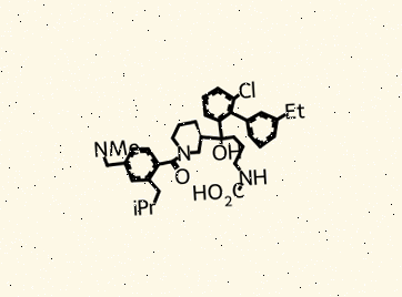 CCc1cccc(-c2c(Cl)cccc2[C@](O)(CCCNC(=O)O)[C@@H]2CCCN(C(=O)c3ccc(CNC)cc3CC(C)C)C2)c1